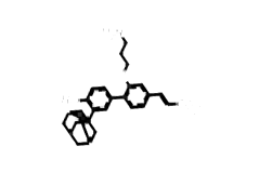 NCCCOc1cc(C=CC(=O)O)ccc1-c1ccc(O)c(C23CC4CC(CC(C4)C2)C3)c1